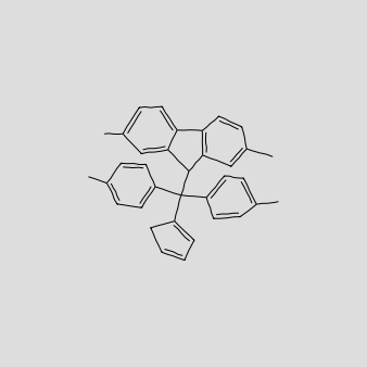 Cc1ccc(C(C2=CC=CC2)(c2ccc(C)cc2)C2c3cc(C)ccc3-c3ccc(C)cc32)cc1